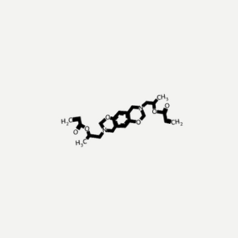 C=CC(=O)OC(C)CN1COc2cc3c(cc2C1)OCN(CC(C)OC(=O)C=C)C3